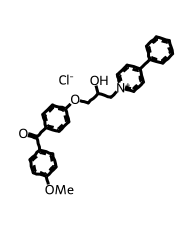 COc1ccc(C(=O)c2ccc(OCC(O)C[n+]3ccc(-c4ccccc4)cc3)cc2)cc1.[Cl-]